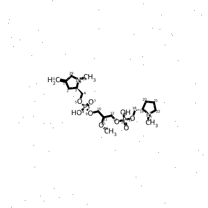 C=C1C[C@H](COP(=O)(O)OCC(COP(=O)(O)OC[C@@H]2CCCN2C)OC)N(C)C1